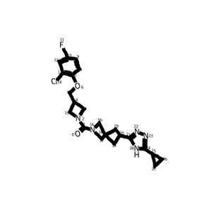 O=C(N1CC(COc2ccc(F)cc2Cl)C1)N1CC2(CC(c3nnc(C4CC4)[nH]3)C2)C1